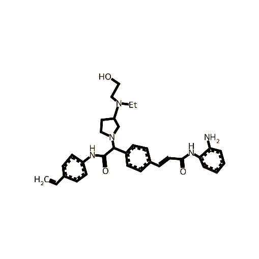 C=Cc1ccc(NC(=O)C(c2ccc(/C=C/C(=O)Nc3ccccc3N)cc2)N2CCC(N(CC)CCO)C2)cc1